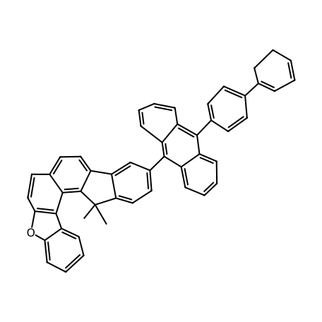 CC1(C)c2ccc(-c3c4ccccc4c(-c4ccc(C5=CC=CCC5)cc4)c4ccccc34)cc2-c2ccc3ccc4oc5ccccc5c4c3c21